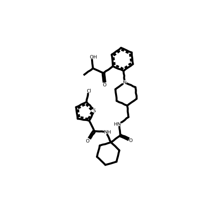 CC(O)C(=O)c1ccccc1N1CCC(CNC(=O)C2(NC(=O)c3ccc(Cl)s3)CCCCC2)CC1